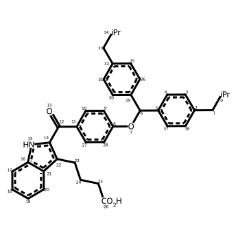 CC(C)Cc1ccc(C(Oc2ccc(C(=O)c3[nH]c4ccccc4c3CCCC(=O)O)cc2)c2ccc(CC(C)C)cc2)cc1